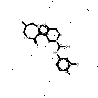 O=C1NCC(F)Cn2nc3c(c21)CN(C(O)Nc1ccc(F)c(Cl)c1)CC3